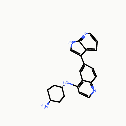 N[C@H]1CC[C@H](Nc2ccnc3ccc(-c4c[nH]c5ncccc45)cc23)CC1